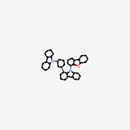 c1cc(-c2cccc3c4ccccc4n(-c4cccc5c4oc4ccccc45)c23)cc(-n2c3ccccc3c3ccccc32)c1